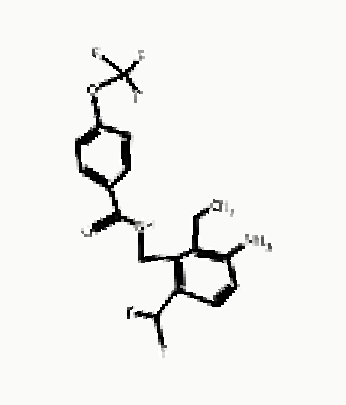 CCc1c(N)ccc(C(F)F)c1CNC(=O)c1ccc(OC(F)(F)F)cc1